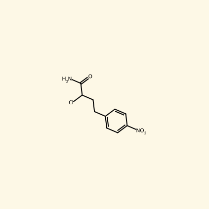 NC(=O)C(Cl)CCc1ccc([N+](=O)[O-])cc1